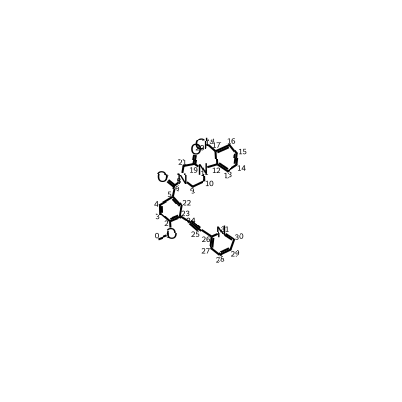 COc1ccc(C(=O)N2CCN(c3ccccc3Cl)C(=O)C2)cc1C#Cc1ccccn1